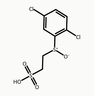 O=S(=O)(O)CC[S+]([O-])c1cc(Cl)ccc1Cl